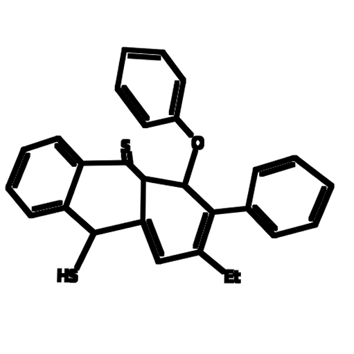 CCC1=C(c2ccccc2)C(Oc2ccccc2)C2C(=S)c3ccccc3C(S)C2=C1